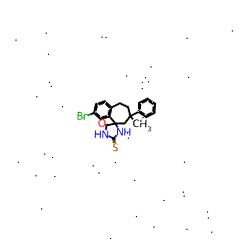 CC1(c2ccccc2)CCc2ccc(Br)cc2C2(C1)NC(=S)NC2=O